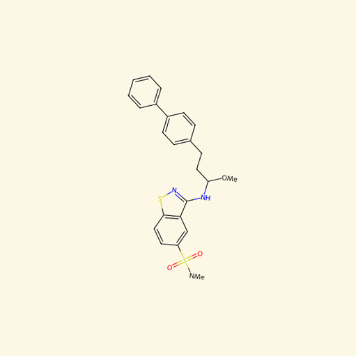 CNS(=O)(=O)c1ccc2snc(NC(CCc3ccc(-c4ccccc4)cc3)OC)c2c1